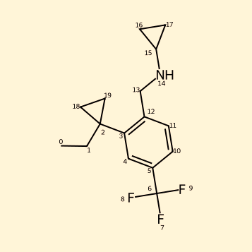 CCC1(c2cc(C(F)(F)F)ccc2CNC2CC2)CC1